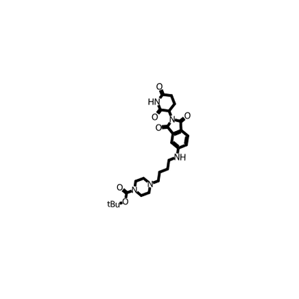 CC(C)(C)OC(=O)N1CCN(CCCCNc2ccc3c(c2)C(=O)N(C2CCC(=O)NC2=O)C3=O)CC1